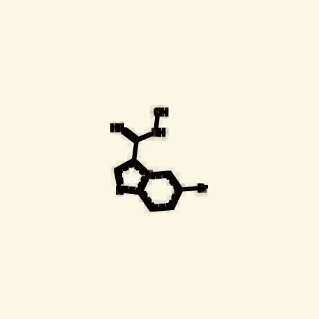 N=C(NO)c1cnc2ccc(Br)cn12